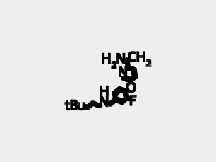 C=C(N)c1ccc(Oc2ccc(CNCCCC(C)(C)C)cc2F)cn1